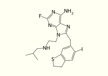 CC(C)CNCCn1c(Cc2cc3c(cc2I)CCS3)nc2c(N)nc(F)nc21